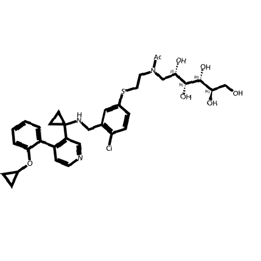 CC(=O)N(CCSc1ccc(Cl)c(CNC2(c3cnccc3-c3ccccc3OC3CC3)CC2)c1)C[C@H](O)[C@@H](O)[C@H](O)[C@H](O)CO